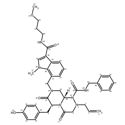 C=CCN1CC(=O)N2[C@@H](Cc3ccc(O)cc3)C(=O)N(Cc3cccc4c(C(=O)NCCCOC)cn(C)c34)C[C@@H]2N1C(=O)NCc1ccccc1